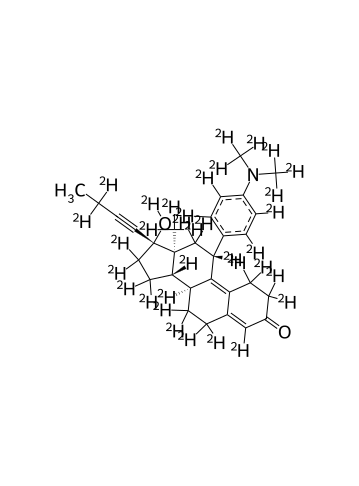 [2H]O[C@@]1(C#CC([2H])([2H])C)C([2H])([2H])C([2H])([2H])[C@]2([2H])[C@]1(C([2H])([2H])[2H])C([2H])([2H])[C@]([2H])(c1c([2H])c([2H])c(N(C([2H])([2H])[2H])C([2H])([2H])[2H])c([2H])c1[2H])C1=C3C(=C([2H])C(=O)C([2H])([2H])C3([2H])[2H])C([2H])([2H])C([2H])([2H])[C@]12[2H]